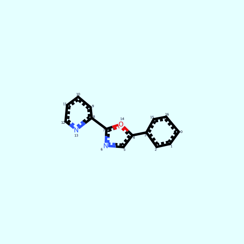 c1ccc(-c2cnc(-c3ccccn3)o2)cc1